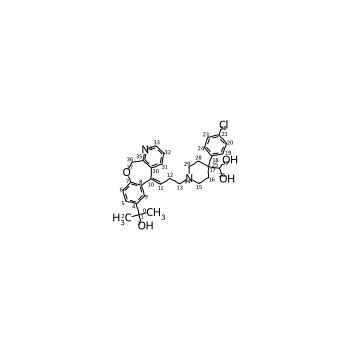 CC(C)(O)c1ccc2c(c1)/C(=C/CCN1CCC(c3ccc(Cl)cc3)(C(O)O)CC1)c1cccnc1CO2